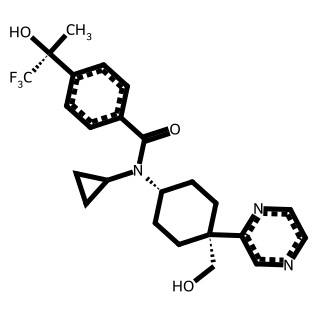 C[C@](O)(c1ccc(C(=O)N(C2CC2)[C@H]2CC[C@](CO)(c3cnccn3)CC2)cc1)C(F)(F)F